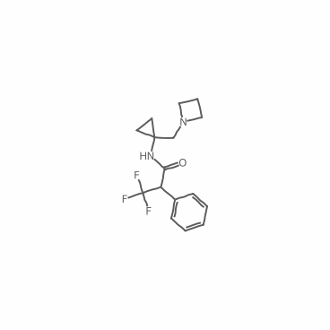 O=C(NC1(CN2CCC2)CC1)C(c1ccccc1)C(F)(F)F